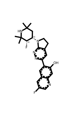 CC1(C)C[C@H](N2CCc3cc(-c4cc5cc(F)cnc5cc4O)nnc32)[C@H](F)C(C)(C)N1